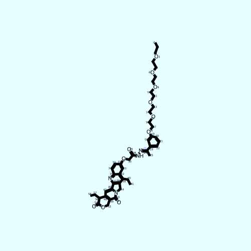 CCCOCCOCCOCCOCCOCCOc1cccc(/C(C)=N/NC(=O)COc2ccc3nc4c(c(CC)c3c2)Cn2c-4cc3c(c2=O)COC(=O)C3CC)c1